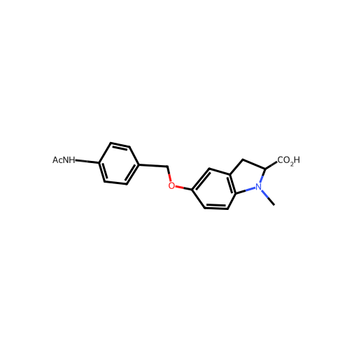 CC(=O)Nc1ccc(COc2ccc3c(c2)CC(C(=O)O)N3C)cc1